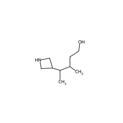 CC(CCO)C(C)C1CNC1